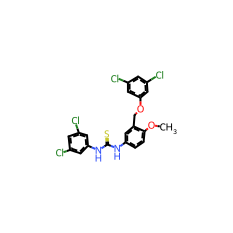 COc1ccc(NC(=S)Nc2cc(Cl)cc(Cl)c2)cc1COc1cc(Cl)cc(Cl)c1